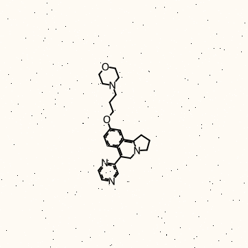 c1cnc(C2=c3ccc(OCCCN4CCOCC4)cc3=C3CCCN3C2)cn1